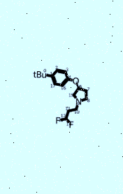 CC(C)(C)c1ccc(O[C@H]2CCN(CCC(F)F)C2)cc1